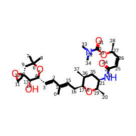 CC(/C=C/[C@H]1OC(C)(C)C[C@@]2(CO2)[C@@H]1O)=C\C[C@@H]1O[C@H](C)[C@H](NC(=O)/C=C\[C@H](C)OC(=O)N(C)C)C[C@@H]1C